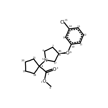 COC(=O)C1(N2CC[C@@H](Oc3cccc(Cl)c3)C2)CCCC1